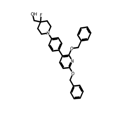 OCC1(F)CCN(c2ccc(-c3ccc(OCc4ccccc4)nc3OCc3ccccc3)cc2)CC1